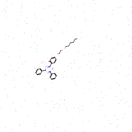 CCCCCCOCCOc1ccc(-c2nc(-c3ccccc3)nc(-c3ccccc3)n2)c(O)c1